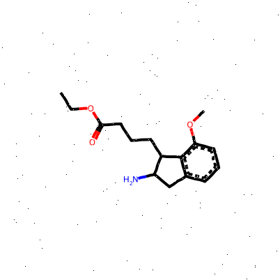 CCOC(=O)CCCC1c2c(cccc2OC)CC1N